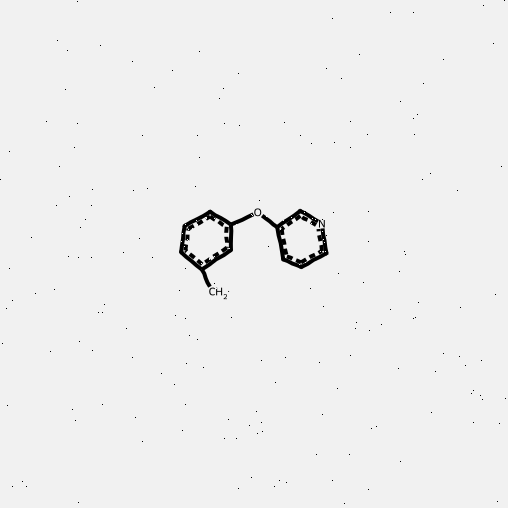 [CH2]c1cccc(Oc2cccnc2)c1